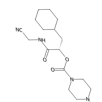 CCN1CCN(C(=O)O[C@@H](CC2CCCCC2)C(=O)NCC#N)CC1